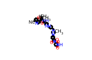 C[C@@H]1CN(c2ccc3c(c2)C(=O)N(C2CCC(=O)NC2=O)C3=O)CCN1CC1CCN(c2ccc(C(=O)N[C@H]3C(C)(C)[C@@H]4Oc5ccc(C#N)c6nccc(c56)C34C)cn2)CC1